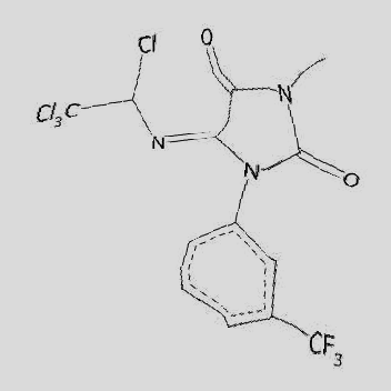 CN1C(=O)C(=NC(Cl)C(Cl)(Cl)Cl)N(c2cccc(C(F)(F)F)c2)C1=O